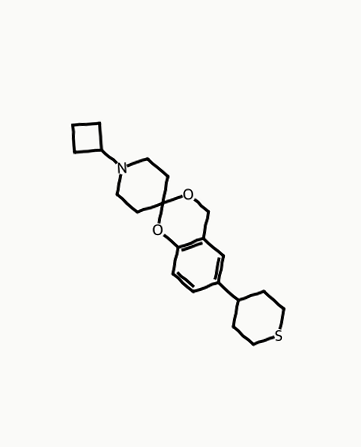 c1cc2c(cc1C1CCSCC1)COC1(CCN(C3CCC3)CC1)O2